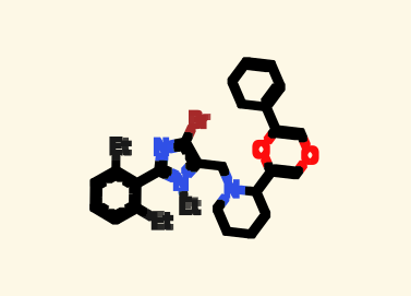 CCc1cccc(CC)c1-c1nc(Br)c(CN2CCCCC2C2=COC=C(C3=CC=CCC3)O2)n1CC